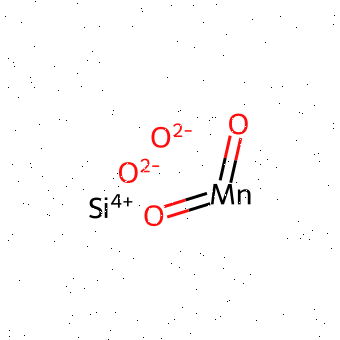 [O-2].[O-2].[O]=[Mn]=[O].[Si+4]